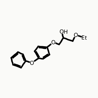 CCOCC(O)COc1ccc(Oc2ccccc2)cc1